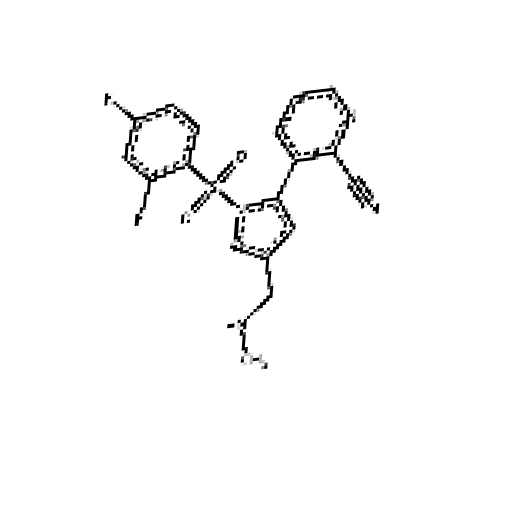 CNCc1cc(-c2cccnc2C#N)n(S(=O)(=O)c2ccc(F)cc2F)c1